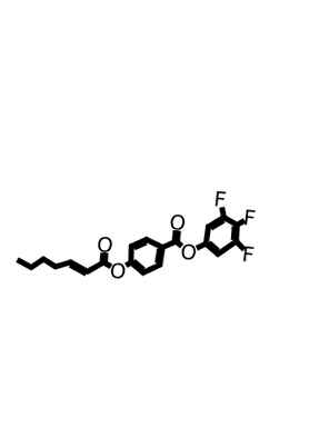 CCCCC=CC(=O)Oc1ccc(C(=O)Oc2cc(F)c(F)c(F)c2)cc1